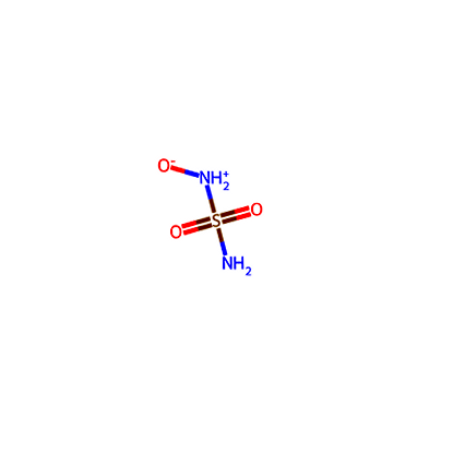 NS(=O)(=O)[NH2+][O-]